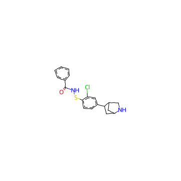 O=C(NSc1ccc(C2CC3CC2CN3)cc1Cl)c1ccccc1